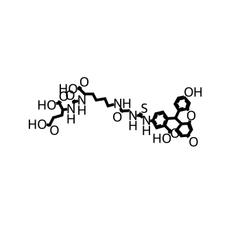 O=C1C=CC2C(=C1)Oc1cc(O)ccc1C2c1ccc(NC(=S)NCC(=O)NCCCCC(NC(=O)NC(CCC(=O)O)C(=O)O)C(=O)O)cc1C(=O)O